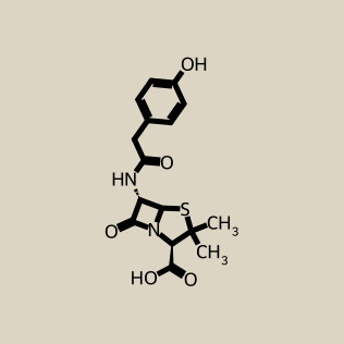 CC1(C)SC2[C@@H](NC(=O)Cc3ccc(O)cc3)C(=O)N2[C@@H]1C(=O)O